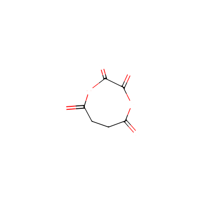 O=C1CCC(=O)OC(=O)C(=O)O1